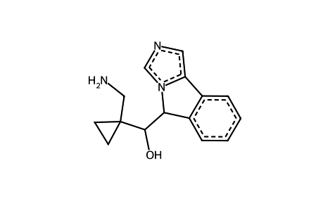 NCC1(C(O)C2c3ccccc3-c3cncn32)CC1